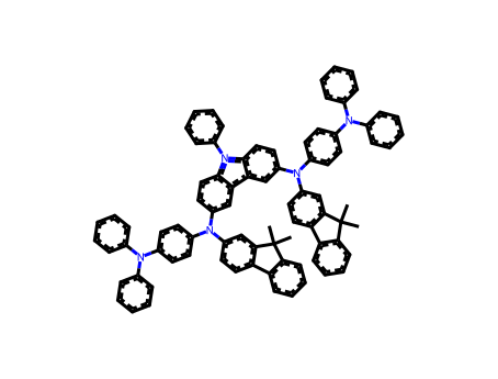 CC1(C)c2ccccc2-c2ccc(N(c3ccc(N(c4ccccc4)c4ccccc4)cc3)c3ccc4c(c3)c3cc(N(c5ccc(N(c6ccccc6)c6ccccc6)cc5)c5ccc6c(c5)C(C)(C)c5ccccc5-6)ccc3n4-c3ccccc3)cc21